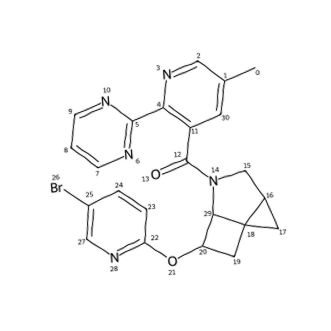 Cc1cnc(-c2ncccn2)c(C(=O)N2CC3CC34CC(Oc3ccc(Br)cn3)C24)c1